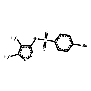 Cc1noc(NS(=O)(=O)c2ccc(C(C)(C)C)cc2)c1C